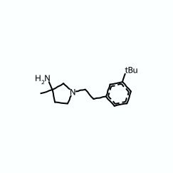 CC1(N)CCN(CCc2cccc(C(C)(C)C)c2)C1